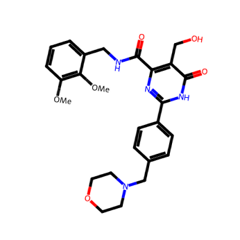 COc1cccc(CNC(=O)c2nc(-c3ccc(CN4CCOCC4)cc3)[nH]c(=O)c2CO)c1OC